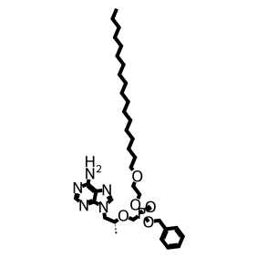 CCCCCCCCCCCCCCCCCCOCCOP(=O)(CO[C@H](C)Cn1cnc2c(N)ncnc21)OCc1ccccc1